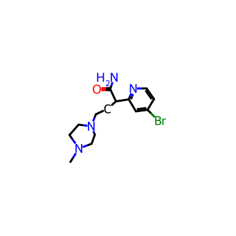 CN1CCN(CCC(C(N)=O)c2cc(Br)ccn2)CC1